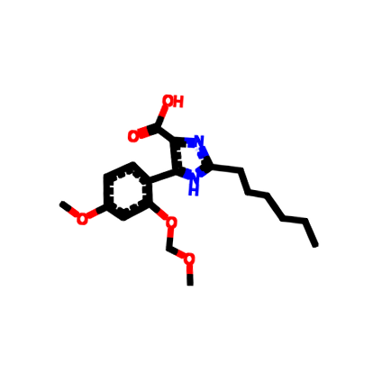 CCCCCCc1nc(C(=O)O)c(-c2ccc(OC)cc2OCOC)[nH]1